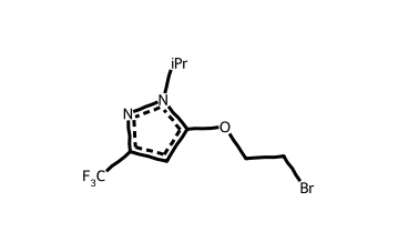 CC(C)n1nc(C(F)(F)F)cc1OCCBr